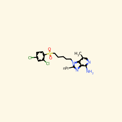 CCCc1nc2c(N)ncc(C)c2n1CCCCCS(=O)(=O)c1ccc(Cl)cc1Cl